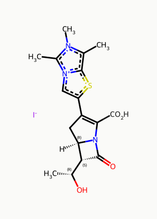 Cc1c2sc(C3=C(C(=O)O)N4C(=O)[C@H]([C@@H](C)O)[C@H]4C3)c[n+]2c(C)n1C.[I-]